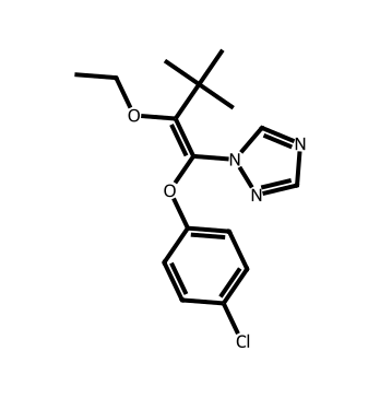 CCOC(=C(Oc1ccc(Cl)cc1)n1cncn1)C(C)(C)C